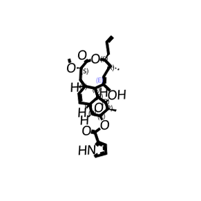 C=CC[C@@H]1OC(=O)[C@@H](OC)C[C@H]2C=C[C@H]3[C@H]4O[C@]2(/C(C)=C/[C@H]1C)[C@@H]3[C@H](O)[C@@H](C)[C@H]4OC(=O)c1ccc[nH]1